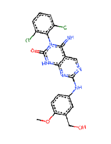 COc1ccc(Nc2ncc3c(=N)n(-c4c(Cl)cccc4Cl)c(=O)[nH]c3n2)cc1CO